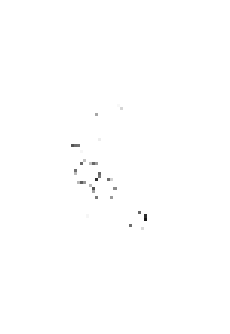 CC(=O)N1CCN(C(=O)c2ccc3c(C(C)C)nc(Nc4cc(C)[nH]n4)cc3c2)CC1